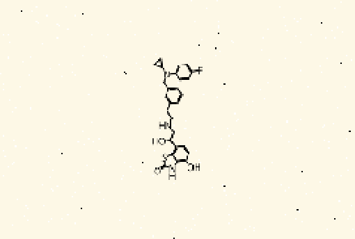 O=c1[nH]c2c(O)ccc(C(O)CNCCc3cccc(CN(c4ccc(F)cc4)C4CC4)c3)c2s1